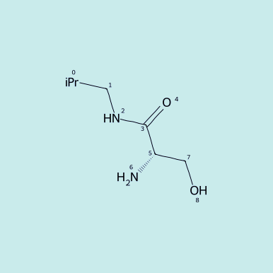 CC(C)CNC(=O)[C@@H](N)CO